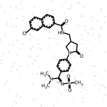 CN(C)/C(=N/S(C)(=O)=O)c1ccc(N2CC(CNC(=O)c3ccc4ccc(Cl)cc4c3)CC2=O)cc1